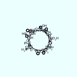 CCCC[C@H]1C(=O)N2CCCC[C@@H]2C(=O)N[C@@H](CC(=O)O)C(=O)N[C@@H](C)C(=O)N(C)[C@@H](Cc2ccccc2)C(=O)N[C@@H](Cc2ccc(O)cc2)C(=O)N(C)CC(=O)N[C@@H](Cc2c[nH]c3ccccc23)C(=O)N[C@@H](Cc2ccc(O)cc2)C(=O)N[C@@H](CC(C)C)C(=O)N[C@H](C(=O)NCC(N)=O)CSCC(=O)N[C@@H](Cc2ccccc2)C(=O)N(C)[C@@H](Cc2ccccc2)C(=O)N1C